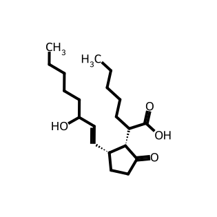 CCCCCC(O)C=C[C@H]1CCC(=O)[C@H]1C(CCCCC)C(=O)O